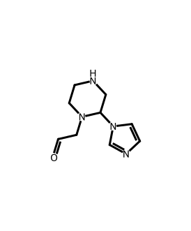 O=CCN1CCNCC1n1ccnc1